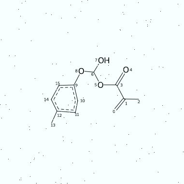 C=C(C)C(=O)OC(O)Oc1ccc(C)cc1